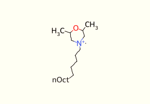 CCCCCCCCCCCCC[N+]1CC(C)OC(C)C1